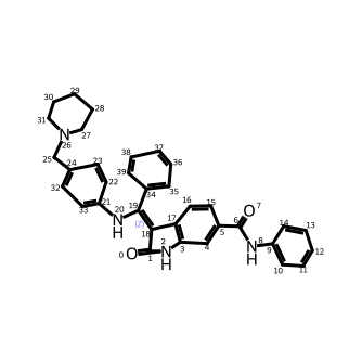 O=C1Nc2cc(C(=O)Nc3ccccc3)ccc2/C1=C(/Nc1ccc(CN2CCCCC2)cc1)c1ccccc1